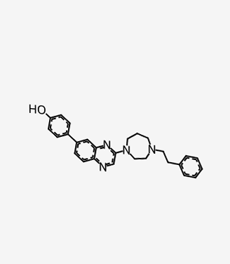 Oc1ccc(-c2ccc3ncc(N4CCCN(CCc5ccccc5)CC4)nc3c2)cc1